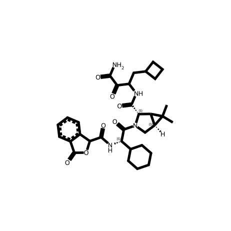 CC1(C)C2[C@@H](C(=O)NC(CC3CCC3)C(=O)C(N)=O)N(C(=O)[C@@H](NC(=O)C3OC(=O)c4ccccc43)C3CCCCC3)C[C@@H]21